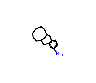 Nc1ccc2c(c1)CC1CCCCCCC(C2)C1